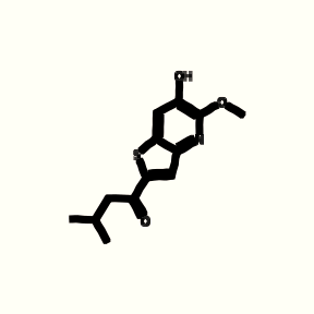 COc1nc2cc(C(=O)CC(C)C)sc2cc1O